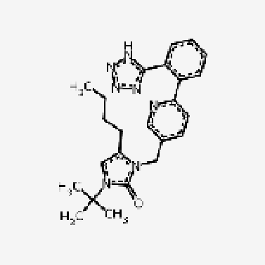 CCCCc1cn(C(C)(C)C)c(=O)n1Cc1ccc(-c2ccccc2-c2nnn[nH]2)nc1